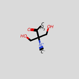 [C-]#[N+]C(CO)(CO)C(C)=O